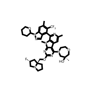 Cc1cc2c3c(N4CCOC[C@@](C)(O)C4)nc(OC[C@@]45CCCN4C[C@H](F)C5)nc3n(C)c2c(-c2c(C(F)(F)F)c(C)cc3c2cnn3C2CCCCO2)n1